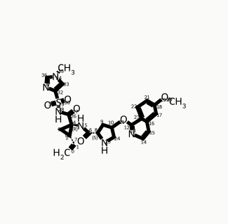 C=C[C@@H]1C[C@]1(NC(=O)[C@@H]1CC(Oc2nccc3cc(OC)ccc23)CN1)C(=O)NS(=O)(=O)c1cn(C)cn1